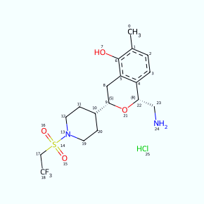 Cc1ccc2c(c1O)C[C@@H](C1CCN(S(=O)(=O)CC(F)(F)F)CC1)O[C@H]2CN.Cl